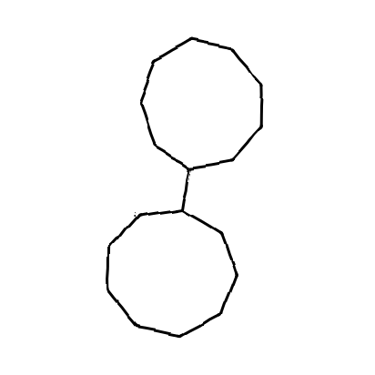 [C]1CCCCCCCC1C1CCCCCCCC1